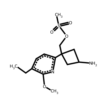 CCc1ccc(C2(COS(C)(=O)=O)CC(N)C2)nc1OC